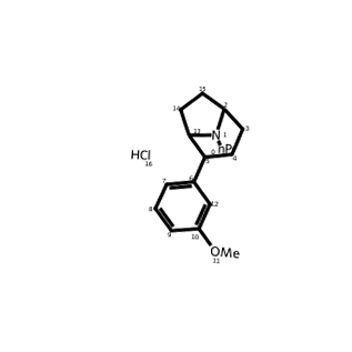 CCCN1C2CCC(c3cccc(OC)c3)C1CC2.Cl